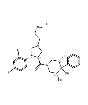 COCCN1C[C@@H](C(=O)N2C[C@@H](C)C(O)(c3ccccc3)[C@@H](C)C2)[C@H](c2ccc(F)cc2F)C1.Cl